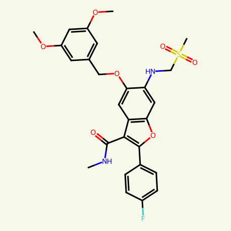 CNC(=O)c1c(-c2ccc(F)cc2)oc2cc(NCS(C)(=O)=O)c(OCc3cc(OC)cc(OC)c3)cc12